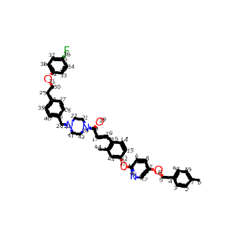 Cc1ccc(COc2ccc(Oc3ccc(/C=C/C(=O)N4CCN(Cc5ccc(CCOc6ccc(F)cc6)cc5)CC4)c(C)c3)nc2)cc1